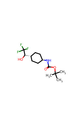 CC(C)(C)OC(=O)N[C@H]1CC[C@H](C(O)C(F)(F)F)CC1